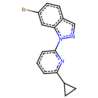 Brc1ccc2cnn(-c3cccc(C4CC4)n3)c2c1